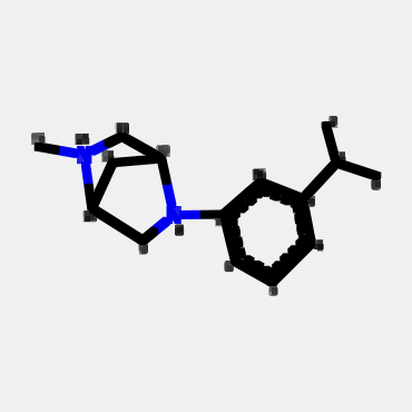 CC(C)c1cccc(N2CC3CC2CN3C)c1